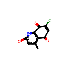 Cc1cc(=O)[nH]c2c1C(=O)C=C(Cl)C2=O